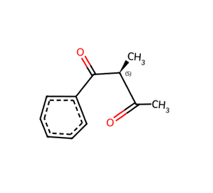 CC(=O)[C@H](C)C(=O)c1ccccc1